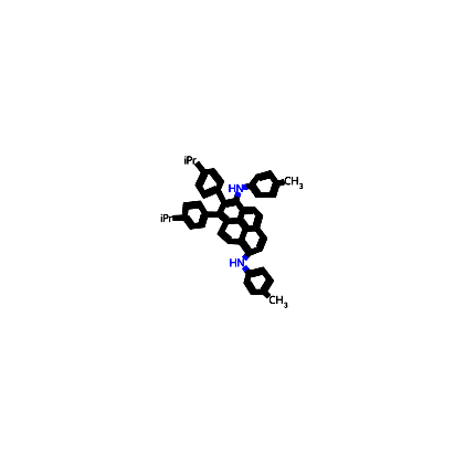 Cc1ccc(Nc2ccc3ccc4c(Nc5ccc(C)cc5)c(-c5ccc(C(C)C)cc5)c(-c5ccc(C(C)C)cc5)c5ccc2c3c45)cc1